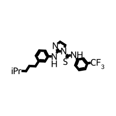 CC(C)CCCc1cccc(NC2=NCCN2C(=S)Nc2cccc(C(F)(F)F)c2)c1